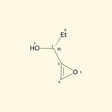 CC[C@@H](O)C1=CO1